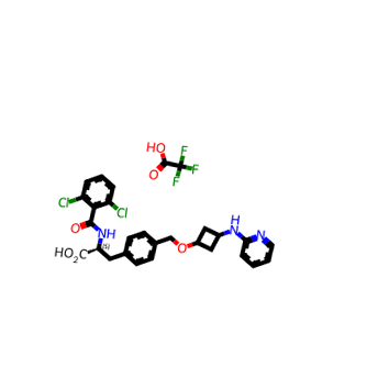 O=C(N[C@@H](Cc1ccc(COC2CC(Nc3ccccn3)C2)cc1)C(=O)O)c1c(Cl)cccc1Cl.O=C(O)C(F)(F)F